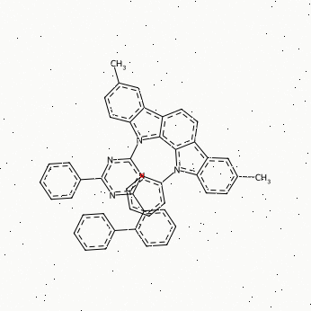 Cc1ccc2c(c1)c1ccc3c4cc(C)ccc4n(-c4nc(-c5ccccc5)nc(-c5ccccc5-c5ccccc5)n4)c3c1n2-c1ccccc1